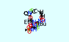 CC[C@@H]1[C@@H]2CN(C(=O)[C@H](C(C)(C)C)NC(=O)O[C@@H]3C[C@H]3CCCCC(F)(F)c3nc4ccccc4cc3O2)[C@@H]1C(=O)N[C@]1(C(=O)NS(=O)(=O)C2CC2)C[C@H]1C(F)F